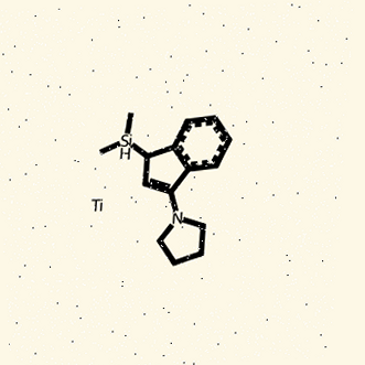 C[SiH](C)C1C=C(N2CCCC2)c2ccccc21.[Ti]